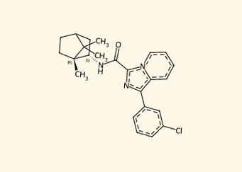 CC1(C)C2CC[C@@]1(C)[C@@H](NC(=O)c1nc(-c3cccc(Cl)c3)c3ccccn13)C2